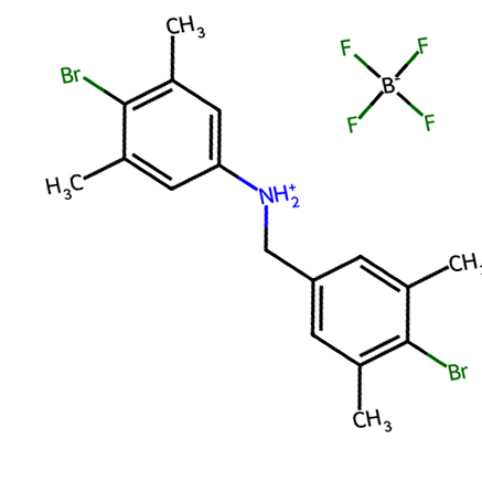 Cc1cc(C[NH2+]c2cc(C)c(Br)c(C)c2)cc(C)c1Br.F[B-](F)(F)F